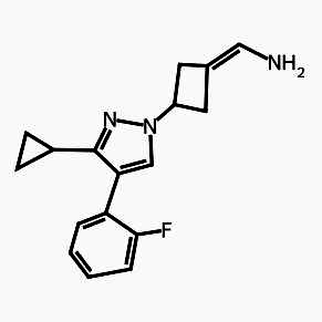 NC=C1CC(n2cc(-c3ccccc3F)c(C3CC3)n2)C1